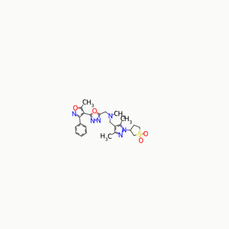 Cc1nn(C2CCS(=O)(=O)C2)c(C)c1CN(C)Cc1nnc(-c2c(-c3ccccc3)noc2C)o1